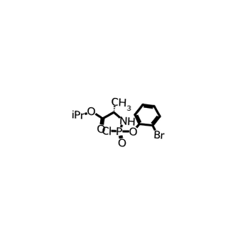 CC(C)OC(=O)[C@H](C)NP(=O)(Cl)Oc1ccccc1Br